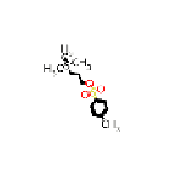 Cc1ccc(S(=O)(=O)OCCC[Si](C)(C)C)cc1